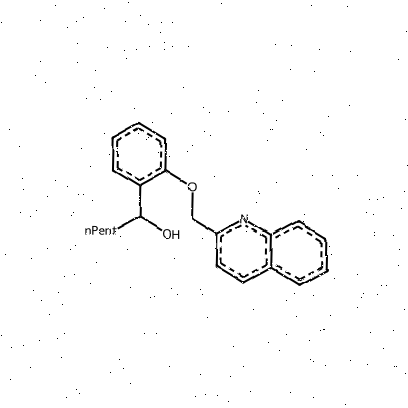 CCCCCC(O)c1ccccc1OCc1ccc2ccccc2n1